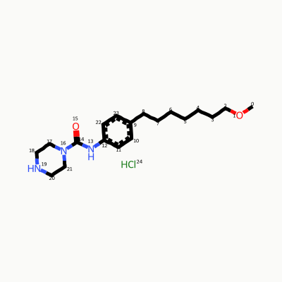 COCCCCCCCc1ccc(NC(=O)N2CCNCC2)cc1.Cl